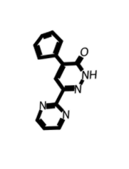 O=c1[nH]nc(-c2ncccn2)cc1-c1ccccc1